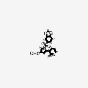 O=Cc1cc(-c2cccnc2F)n(S(=O)(=O)c2ccc3c(c2)OCO3)c1